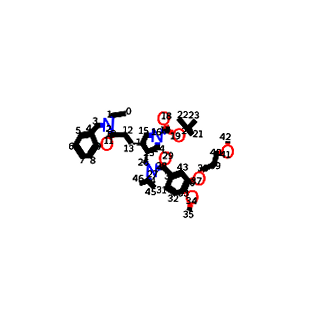 CCN(Cc1ccccc1)C(=O)CC[C@@H]1CN(C(=O)OC(C)(C)C)C[C@H]1CN(C(=O)c1ccc(OC)c(OCCCOC)c1)C(C)C